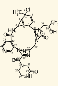 CC1(Cl)C=CC2C3=C1C3NC(=O)c1ccncc1-n1nc(nc1C(=O)N1CCNC(=O)C1)Cn1nc2n(C[C@H](O)C(F)(F)F)c1=O